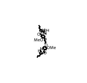 C/C=C/C1=CN2C(=O)c3cc(OC)c(OCCCOc4cc5c(cc4OC)C(=O)N4C=C(/C=C/C)C[C@H]4C(O)N5I)cc3N=C[C@@H]2C1